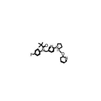 CC(C)(C)C(=O)N(Cc1ccc(N2CCC[C@H]2COC2CC=CC=N2)nc1)c1ccc(F)cc1